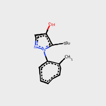 Cc1ccccc1-n1ncc(O)c1C(C)(C)C